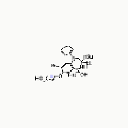 CCCCC1(CC)CN(c2ccccc2)c2cc(Br)c(O/C=C/C(=O)O)cc2S(O)(O)N1